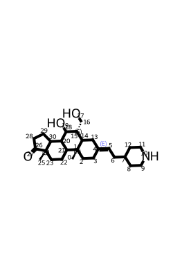 C[C@]12CC/C(=C\CC3CCNCC3)CC1[C@@H](CO)C(O)C1C2CC[C@]2(C)C(=O)CCC12